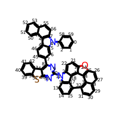 c1ccc(-n2c3cc(-c4nc(-n5c6cccc7c6c6c8c(ccc65)oc5ccc6cccc-7c6c58)nc5sc6ccccc6c45)ccc3c3c4ccccc4ccc32)cc1